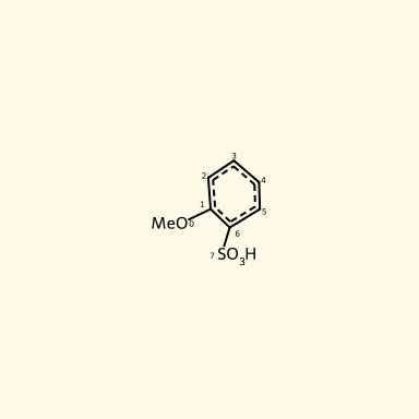 COc1ccccc1S(=O)(=O)O